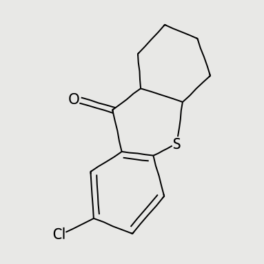 O=C1c2cc(Cl)ccc2SC2CCCCC12